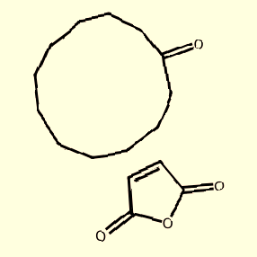 O=C1C=CC(=O)O1.O=C1CCCCCCCCCCC1